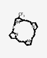 FC(F)(F)c1cc2cc3nc(cc4ccc(cc5nc(cc1[nH]2)C=C5)[nH]4)C=C3